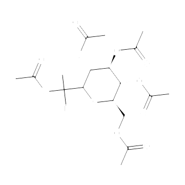 CC(=O)OC[C@H]1SC(C(F)(F)OC(C)=O)[C@H](OC(C)=O)[C@@H](OC(C)=O)[C@@H]1OC(C)=O